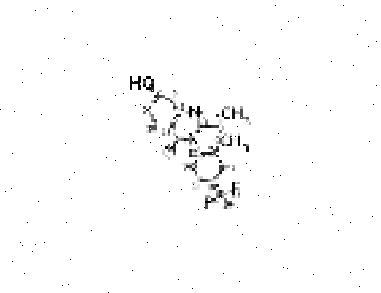 CC(C)c1nc2cc(O)ccc2c(=O)n1-c1ccc(C(F)(F)F)cc1